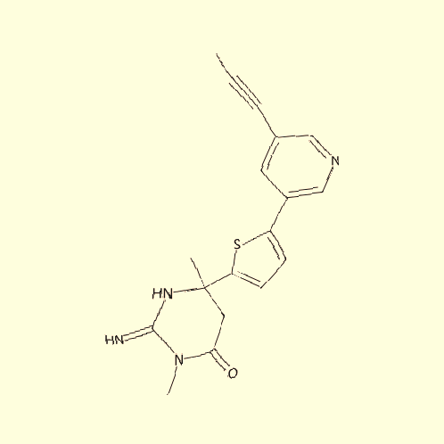 CC#Cc1cncc(-c2ccc(C3(C)CC(=O)N(C)C(=N)N3)s2)c1